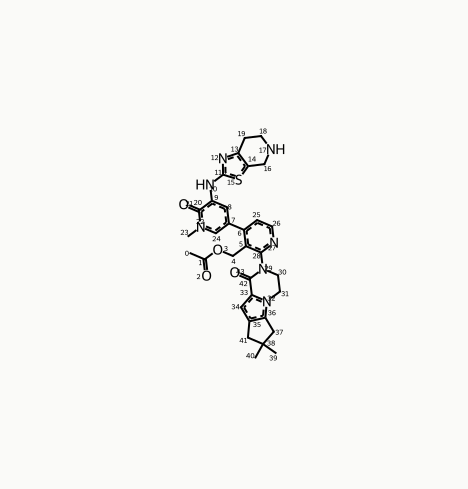 CC(=O)OCc1c(-c2cc(Nc3nc4c(s3)CNCC4)c(=O)n(C)c2)ccnc1N1CCn2c(cc3c2CC(C)(C)C3)C1=O